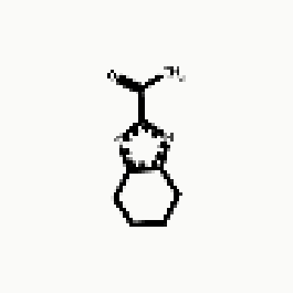 CC(=O)c1nc2c(s1)CCCC2